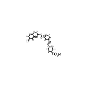 O=C(O)c1ccc(C=Nc2cccc(C=Cc3ccc4ccc(Cl)cc4n3)c2)cc1